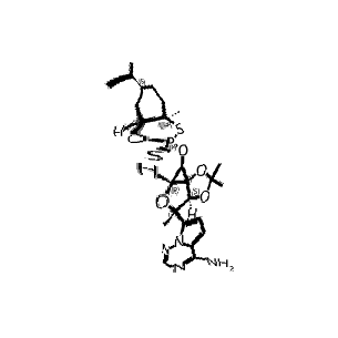 C=C(C)[C@H]1CC[C@@]2(C)S[P@](=S)(OC3[C@H]4O[C@@](C)(c5ccc6c(N)ncnn56)[C@@H]5OC(C)(C)O[C@]345)O[C@@H]2C1